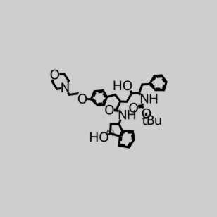 CC(C)(C)OC(=O)NC(Cc1ccccc1)C(O)CC(Cc1ccc(OCCN2CCOCC2)cc1)C(=O)NC1C[C@H](O)c2ccccc21